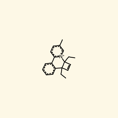 CCC12C=CC1(CC)[n+]1cc(C)ccc1-c1ccccc12